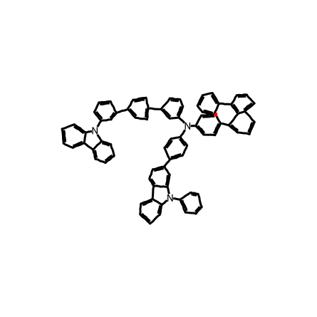 c1ccc(-c2cccc3cccc(-c4ccc(N(c5ccc(-c6ccc7c8ccccc8n(-c8ccccc8)c7c6)cc5)c5cccc(-c6ccc(-c7cccc(-n8c9ccccc9c9ccccc98)c7)cc6)c5)cc4)c23)cc1